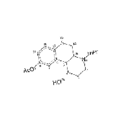 CCCN1CCCC2c3cc(OC(C)=O)ccc3SCC21.Cl